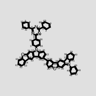 c1ccc(-c2nc(-c3ccccc3)nc(-c3ccc(-n4c5ccc(-c6ccc7oc8cc9c(cc8c7c6)c6ccccc6n9-c6ccccc6)cc5c5cc6c(cc54)oc4ccccc46)cc3)n2)cc1